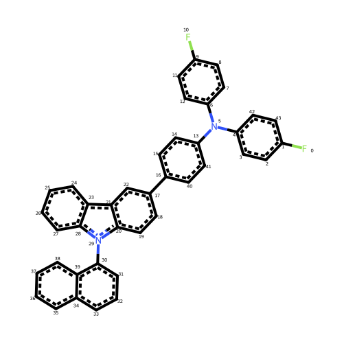 Fc1ccc(N(c2ccc(F)cc2)c2ccc(-c3ccc4c(c3)c3ccccc3n4-c3cccc4ccccc34)cc2)cc1